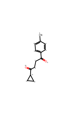 N#Cc1ccc(C(=O)CCC(=O)C2CC2)cc1